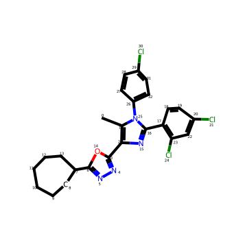 Cc1c(-c2nnc(C3CCCCCC3)o2)nc(-c2ccc(Cl)cc2Cl)n1-c1ccc(Cl)cc1